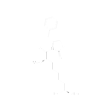 CCCCCC[C@@H](O)CCCCC[C@@H](OC)C(=O)N1C(=O)OC[C@H]1Cc1ccccc1